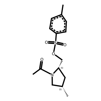 CC(=O)N1C[C@@H](C)C[C@H]1COS(=O)(=O)c1ccc(C)cc1